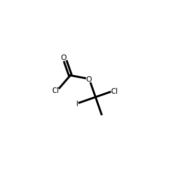 CC(Cl)(I)OC(=O)Cl